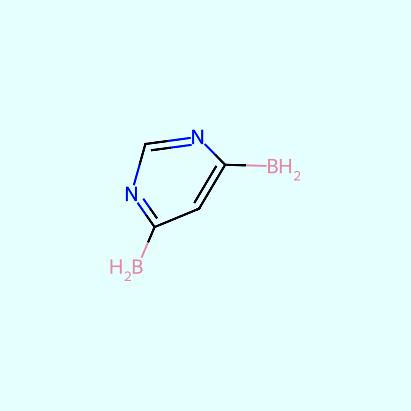 Bc1cc(B)ncn1